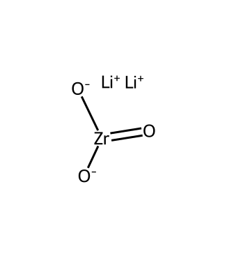 [Li+].[Li+].[O]=[Zr]([O-])[O-]